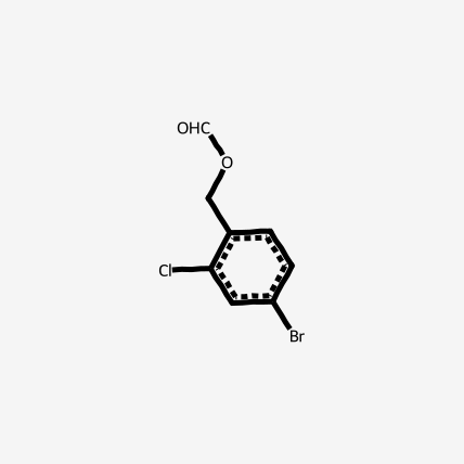 O=COCc1ccc(Br)cc1Cl